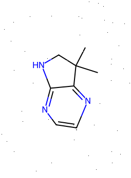 CC1(C)CNc2nc[c]nc21